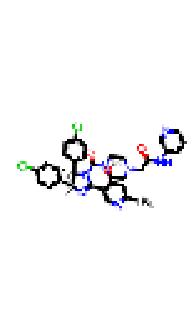 CCOc1cc(C(C)(C)C)ncc1C1=N[C@@](C)(c2ccc(Cl)cc2)[C@@](C)(c2ccc(Cl)cc2)N1C(=O)N1CCN(CC(=O)Nc2cccnc2)CC1